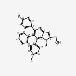 Cn1c(CO)cc2nc(-c3ccc(F)cc3)c(-c3ccncc3)c(-c3ccc(F)cc3)c21